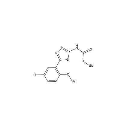 CC(C)Oc1ccc(Cl)cc1-c1nnc(NC(=O)OC(C)(C)C)s1